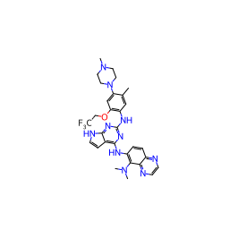 Cc1cc(Nc2nc(Nc3ccc4nccnc4c3N(C)C)c3cc[nH]c3n2)c(OCC(F)(F)F)cc1N1CCN(C)CC1